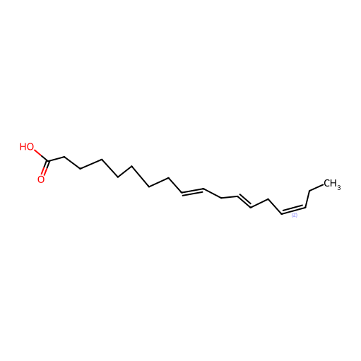 CC/C=C\CC=CCC=CCCCCCCCC(=O)O